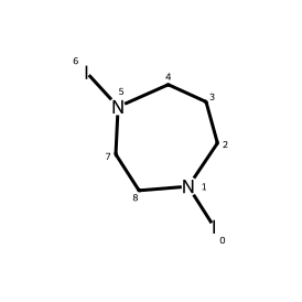 IN1CCCN(I)CC1